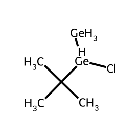 C[C](C)(C)[GeH]([Cl])[GeH3]